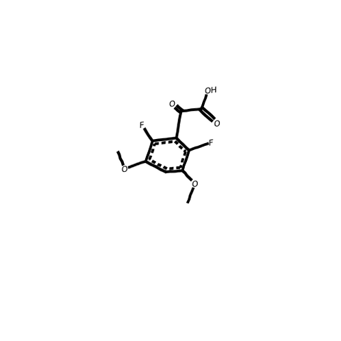 COc1cc(OC)c(F)c(C(=O)C(=O)O)c1F